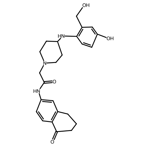 O=C(CN1CCC(Nc2ccc(O)cc2CO)CC1)Nc1ccc2c(c1)CCCC2=O